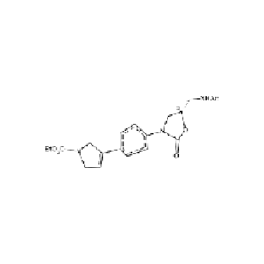 CCOC(=O)N1CC=C(c2ccc(N3C[C@H](CNC(C)=O)OC3=O)cc2)C1